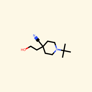 CC(C)(C)N1CCC(C#N)(CCO)CC1